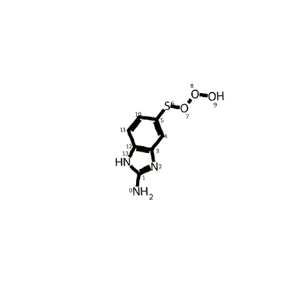 Nc1nc2cc(SOOO)ccc2[nH]1